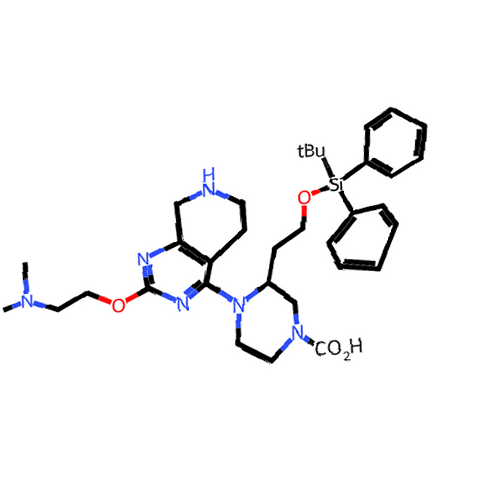 CN(C)CCOc1nc2c(c(N3CCN(C(=O)O)CC3CCO[Si](c3ccccc3)(c3ccccc3)C(C)(C)C)n1)CCNC2